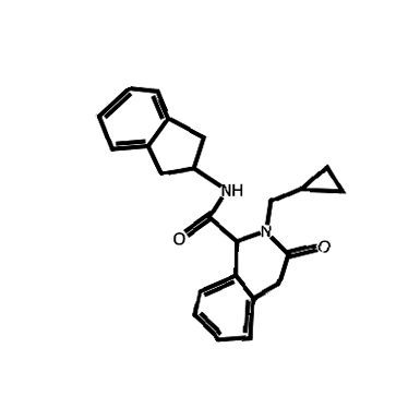 O=C(NC1Cc2ccccc2C1)C1c2ccccc2CC(=O)N1CC1CC1